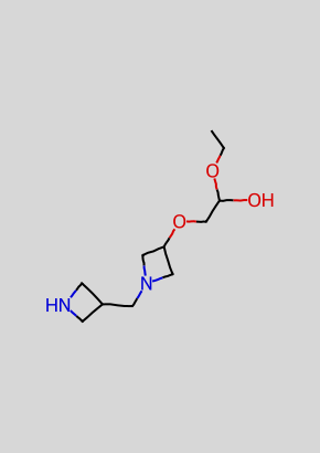 CCOC(O)COC1CN(CC2CNC2)C1